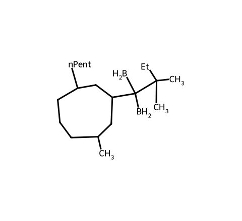 BC(B)(C1CC(C)CCCC(CCCCC)C1)C(C)(C)CC